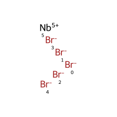 [Br-].[Br-].[Br-].[Br-].[Br-].[Nb+5]